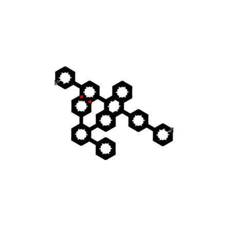 c1ccc(-c2cccc(-c3ccccc3)c2-c2ccc3c(-c4ccc(-c5cccnc5)cc4)c4ccccc4c(-c4ccc(-c5cccnc5)cc4)c3c2)cc1